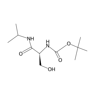 CC(C)NC(=O)[C@H](CO)NC(=O)OC(C)(C)C